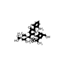 Cc1cc(CO)cc(C(C)C)c1N1c2nc(-c3c(N)cccc3F)c(Cl)cc2C(N2C[C@@H](C)N(C(=O)O)C[C@@H]2C)=NS1(O)O